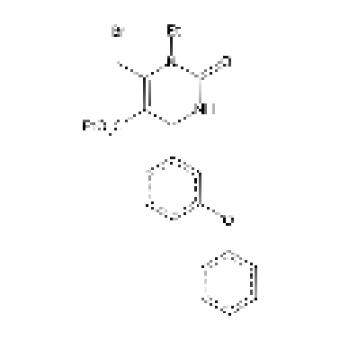 CCOC(=O)C1=C(CBr)N(CC)C(=O)NC1c1cccc(Oc2ccccc2)c1